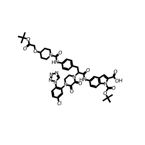 CC(C)(C)OC(=O)COC1CCN(C(=O)Nc2ccc(CC(C(=O)Nc3ccc4c(c3)cc(C(=O)O)n4C(=O)OC(C)(C)C)N3CCN(c4cc(Cl)ccc4-n4cnnn4)C(=O)C3=O)cc2)CC1